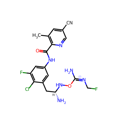 Cc1cc(C#N)cnc1C(=O)Nc1cc(F)c(Cl)c(C[C@@H](N)NO/C(N)=N\CF)c1